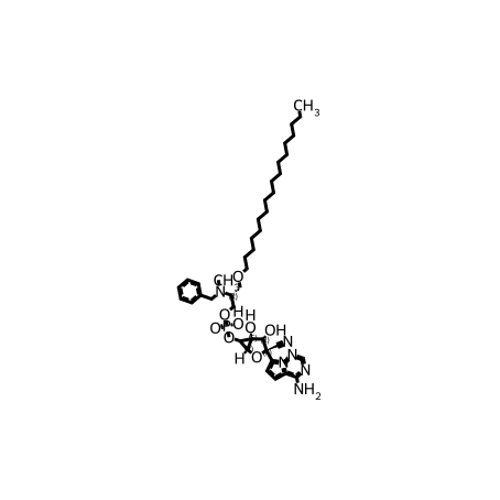 CCCCCCCCCCCCCCCCCCOC[C@H](COP(=O)(O)OC1[C@H]2O[C@@](C#N)(c3ccc4c(N)ncnn34)[C@H](O)[C@@]12O)N(C)Cc1ccccc1